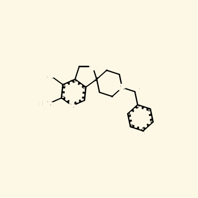 Nc1ncc2c(c1Cl)COC21CCN(Cc2ccccc2)CC1